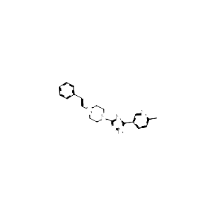 Cc1ccc(-c2nsc(N3CCN(C=Cc4ccccc4)CC3)n2)cn1